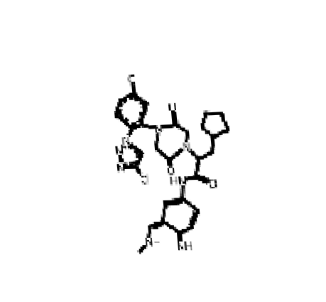 CN/C=C1/C=C(NC(=O)C(CC2CCCC2)N2CC(=O)N(c3cc(Cl)ccc3-n3cc(Cl)nn3)CC2=O)C=CC1=N